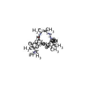 CC1=C[C@H]2C(=O)O[C@H]3C[C@@H](C/C=C(\C)C[C@@H](C)/C=C/C=C4\CO[C@H]([C@@H]1C)[C@@]42O)OC1(CC(=O)[C@H](C)[C@@H](/C(C)=C/C(C)C)O1)C3